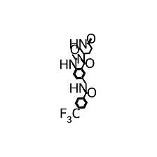 CC1Nc2ccc(CNC(=O)c3ccc(C(F)(F)F)cc3)cc2C(=O)N1C1CCC(=O)NC1=O